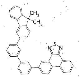 CC1(C)c2ccccc2-c2cc(-c3cccc(-c4cccc(-c5ccc6c7ccccc7c7nsnc7c6c5)c4)c3)ccc21